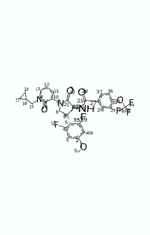 COc1cc(F)c([C@@H]2CN(c3cccn(CC4CC4)c3=O)C(=O)[C@H]2NC(=O)c2ccc(OC(F)(F)F)cc2)c(F)c1